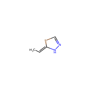 CC=C1NN=CS1